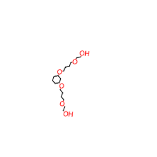 OCCOCCCCOC1CCCC(OCCCCOCCO)C1